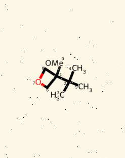 COC1(C(C)(C)C)COC1